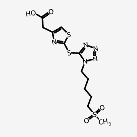 CS(=O)(=O)CCCCCn1nnnc1Sc1nc(CC(=O)O)cs1